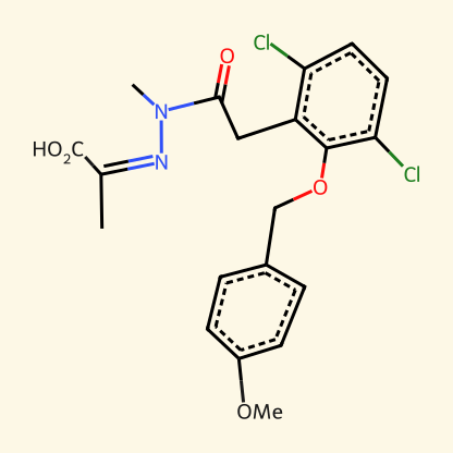 COc1ccc(COc2c(Cl)ccc(Cl)c2CC(=O)N(C)/N=C(/C)C(=O)O)cc1